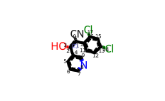 N#C/C(=C(\O)c1cccnc1)c1ccc(Cl)cc1Cl